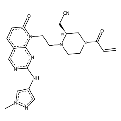 C=CC(=O)N1CCN(CCn2c(=O)ccc3cnc(Nc4cnn(C)c4)nc32)[C@@H](CC#N)C1